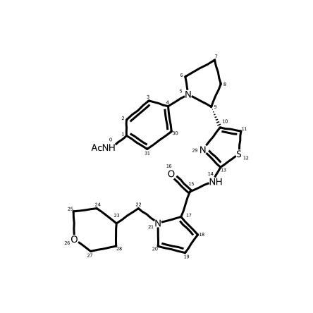 CC(=O)Nc1ccc(N2CCC[C@@H]2c2csc(NC(=O)c3cccn3CC3CCOCC3)n2)cc1